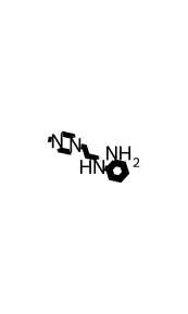 CN1CCN(CCCNc2ccccc2N)CC1